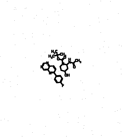 CC(=O)NC1CC(O)CCN1C(=O)OC(C)(C)C.Fc1ccc(-c2ccc3ncncc3n2)cc1